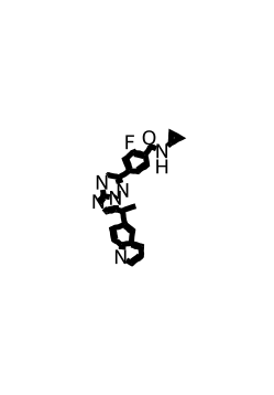 CC(c1ccc2ncccc2c1)c1cnc2ncc(-c3ccc(C(=O)NC4CC4)c(F)c3)nn12